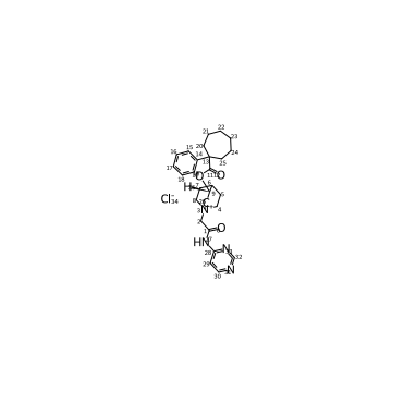 O=C(C[N+]12CCC(CC1)[C@@H](OC(=O)C1(c3ccccc3)CCCCCC1)C2)Nc1ccncn1.[Cl-]